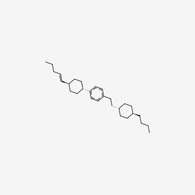 CCCC=C[C@H]1CC[C@H](c2ccc(CC[C@H]3CC[C@H](CCCC)CC3)cc2)CC1